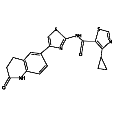 O=C1CCc2cc(-c3csc(NC(=O)c4scnc4C4CC4)n3)ccc2N1